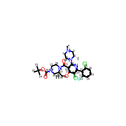 C[C@H]1CN(C)CCN1c1nc(-c2c(F)cccc2Cl)c(Cl)c2c1C(=O)N1CCN(C(=O)OC(C)(C)C)C[C@@H]1CO2